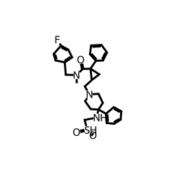 CN(Cc1ccc(F)cc1)C(=O)C1(c2ccccc2)CC1CN1CCC(NC[SH](=O)=O)(c2ccccc2)CC1